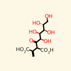 C=C(C(=O)O)C(C(=O)O)C(=O)[C@H](O)[C@@H](O)[C@H](O)[C@H](O)CO